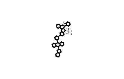 CC1(C)c2ccc(-c3cccc(-c4c5ccccc5c(-c5ccc6ccccc6c5)c5ccccc45)c3)cc2-c2c1c1c3ccccc3sc1c1ccccc21